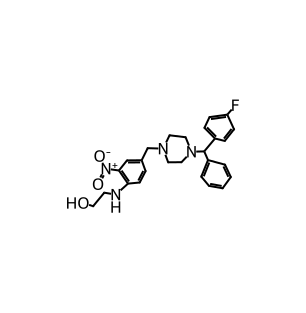 O=[N+]([O-])c1cc(CN2CCN(C(c3ccccc3)c3ccc(F)cc3)CC2)ccc1NCCO